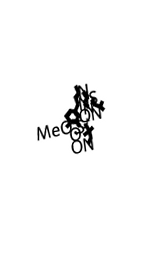 COc1ccc(C2C=C(C)N=C3SC(C(C)(C)N=O)=NN32)cc1[S+]([O-])CC(C)(C)CN=O